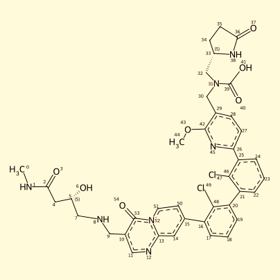 CNC(=O)C[C@H](O)CNCc1cnc2cc(-c3cccc(-c4cccc(-c5ccc(CN(C[C@@H]6CCC(=O)N6)C(=O)O)c(OC)n5)c4Cl)c3Cl)ccn2c1=O